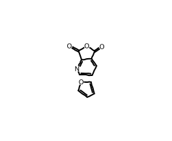 O=C1OC(=O)c2ncccc21.c1ccoc1